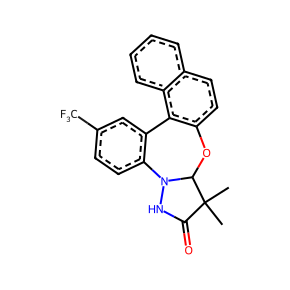 CC1(C)C(=O)NN2c3ccc(C(F)(F)F)cc3-c3c(ccc4ccccc34)OC21